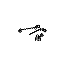 CC(=O)[n+]1ccccc1.CCCCCCCCCCCC(C)(C)NCc1ccccc1.CCCCCCCCCCCCc1ccccn1.Cl.Cl.Cl.c1ccc(Cc2ccccn2)cc1